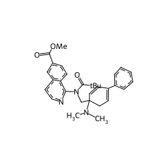 COC(=O)c1ccc2c(N(CC3(N(C)C)C=CC(c4ccccc4)=CC3)C(=O)C(C)(C)C)nccc2c1